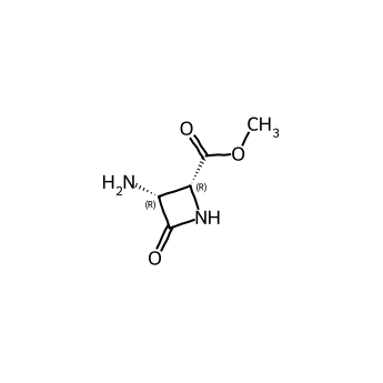 COC(=O)[C@@H]1NC(=O)[C@@H]1N